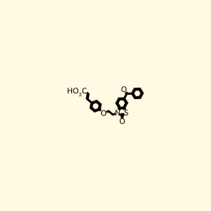 O=C(O)C=Cc1ccc(OCCn2c(=O)sc3cc(C(=O)c4ccccc4)ccc32)cc1